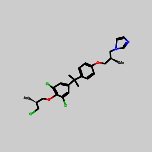 CC(=O)O[C@@H](CCl)COc1c(Cl)cc(C(C)(C)c2ccc(OC[C@@H](Cn3ccnc3)OC(C)=O)cc2)cc1Cl